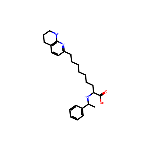 CC(NC(CCCCCCCc1ccc2c(n1)NCCC2)C(=O)O)c1ccccc1